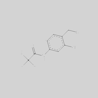 O=C(Nc1ccc(CBr)c(Cl)c1)C(F)(F)F